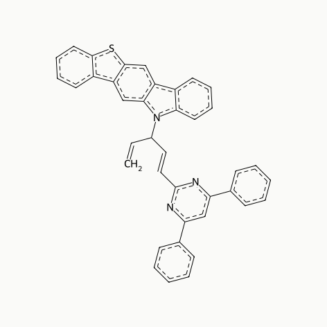 C=CC(/C=C/c1nc(-c2ccccc2)cc(-c2ccccc2)n1)n1c2ccccc2c2cc3sc4ccccc4c3cc21